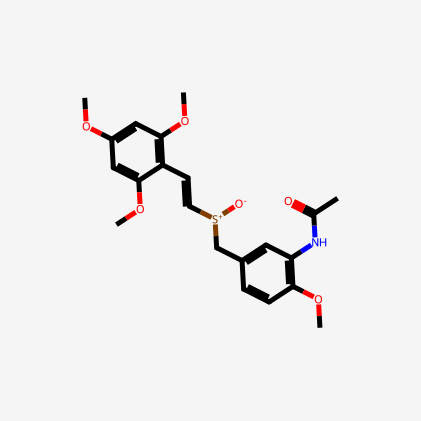 COc1cc(OC)c(/C=C/[S+]([O-])Cc2ccc(OC)c(NC(C)=O)c2)c(OC)c1